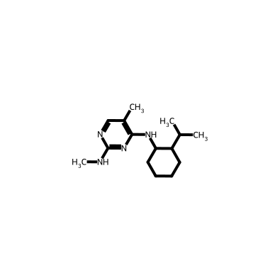 CNc1ncc(C)c(NC2CCCCC2C(C)C)n1